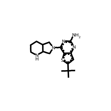 CC(C)(C)c1cc2nc(N)nc(N3CC4CCCNC4C3)c2s1